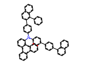 c1ccc(-c2c(-c3ccc(N(c4ccc(-c5ccc(-c6cccc7ccccc67)cc5)cc4)c4cccc5c6ccccc6c6ccccc6c45)cc3)ccc3ccccc23)cc1